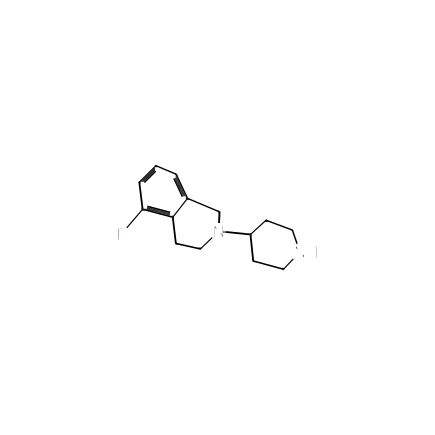 Fc1cccc2c1CCN(C1CCNCC1)C2